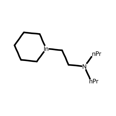 CCCN(CCC)C[CH2][In]1[CH2]CCC[CH2]1